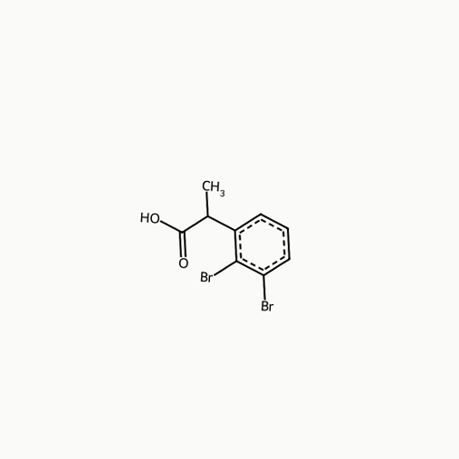 CC(C(=O)O)c1cccc(Br)c1Br